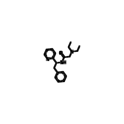 CCN(CC)CC(=O)NC(Cc1ccccc1)c1ccccn1